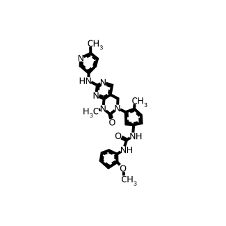 COc1ccccc1NC(=O)Nc1ccc(C)c(N2Cc3cnc(Nc4ccc(C)nc4)nc3N(C)C2=O)c1